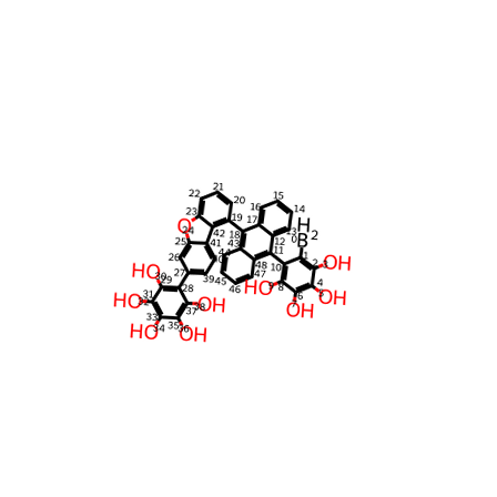 Bc1c(O)c(O)c(O)c(O)c1-c1c2ccccc2c(-c2cccc3oc4cc(-c5c(O)c(O)c(O)c(O)c5O)ccc4c23)c2ccccc12